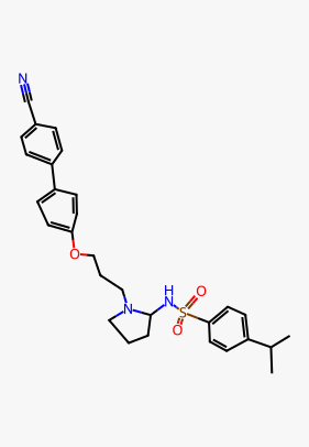 CC(C)c1ccc(S(=O)(=O)NC2CCCN2CCCOc2ccc(-c3ccc(C#N)cc3)cc2)cc1